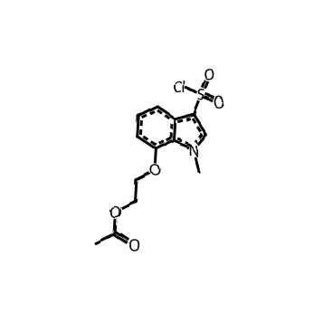 CC(=O)OCCOc1cccc2c(S(=O)(=O)Cl)cn(C)c12